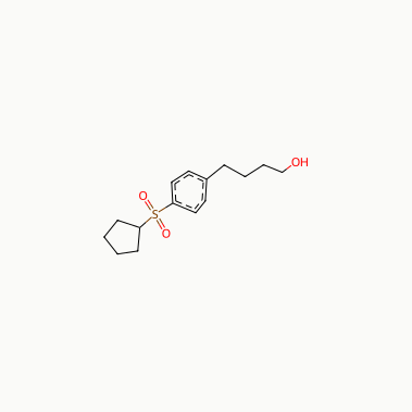 O=S(=O)(c1ccc(CCCCO)cc1)C1CCCC1